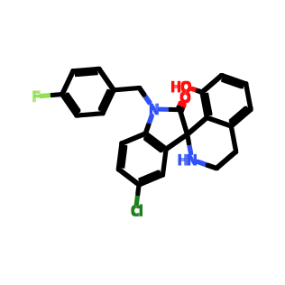 O=C1N(Cc2ccc(F)cc2)c2ccc(Cl)cc2C12NCCc1cccc(O)c12